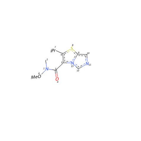 CON(C)C(=O)c1c(C(C)C)sc2cncn12